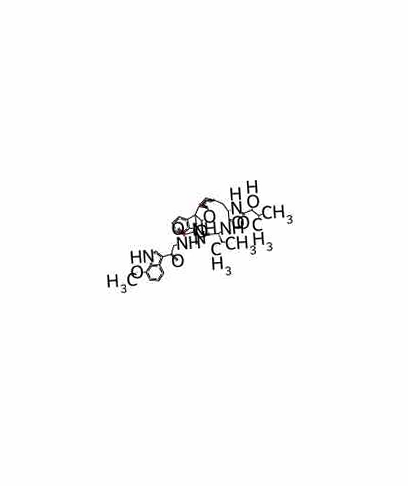 COc1cccc2c(C(=O)CNC(=O)c3nc4oc3C35c6ccccc6NC3Oc3ccc(cc35)C[C@H](NC(=O)[C@@H](O)C(C)C)C(=O)N[C@H]4C(C)C)c[nH]c12